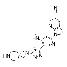 CNc1cc(-n2ccc3cc(C#N)cnc32)ncc1-c1nnc(N2CC3(CCNCC3)C2)s1